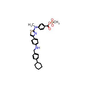 CN(c1ccc(C(=O)OS(C)(=O)=O)cc1)c1nc(-c2ccc(NCc3ccc(C4CCCCC4)cc3)cc2)cs1